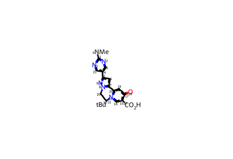 CNc1ncc(-c2cc3n(n2)C[C@@H](C(C)(C)C)n2cc(C(=O)O)c(=O)cc2-3)cn1